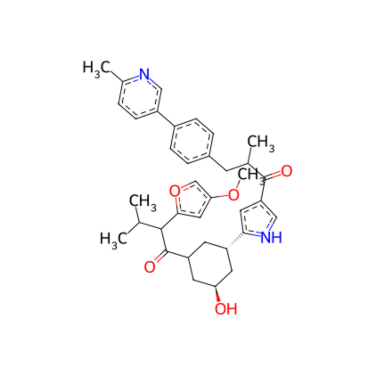 COc1coc(C(C(=O)C2C[C@H](O)C[C@@H](c3cc(C(=O)C(C)Cc4ccc(-c5ccc(C)nc5)cc4)c[nH]3)C2)C(C)C)c1